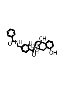 CC1(C)[C@H]2Cc3c(O)cccc3[C@]1(C)CCN2C(=O)c1ccc(CNC(=O)c2ccccc2)cc1